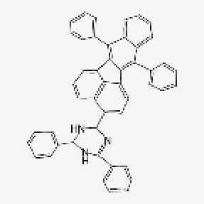 c1ccc(C2=NC(c3ccc4c5c(cccc35)-c3c-4c(-c4ccccc4)c4ccccc4c3-c3ccccc3)NC(c3ccccc3)N2)cc1